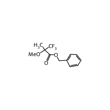 COC(C)(C(=O)OCc1ccccc1)C(F)(F)F